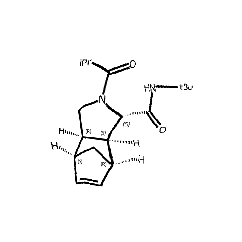 CC(C)C(=O)N1C[C@H]2[C@@H]([C@H]1C(=O)NC(C)(C)C)[C@H]1C=C[C@@H]2C1